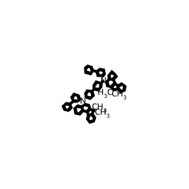 CC1(C)c2ccccc2-c2c1cc(N(c1ccc(-c3ccc(N(c4cccc(-c5ccccc5)c4)c4cc5c(c6ccccc46)-c4ccccc4C5(C)C)cc3)cc1)c1cccc(-c3ccccc3)c1)c1ccccc21